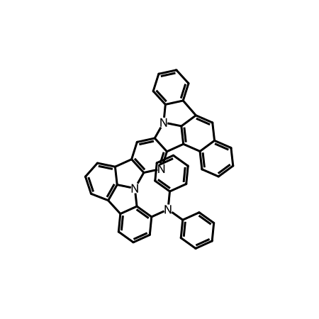 c1ccc(N(c2ccccc2)c2cccc3c4cccc5c6cc7c(nc6n(c23)c54)c2c3ccccc3cc3c4ccccc4n7c32)cc1